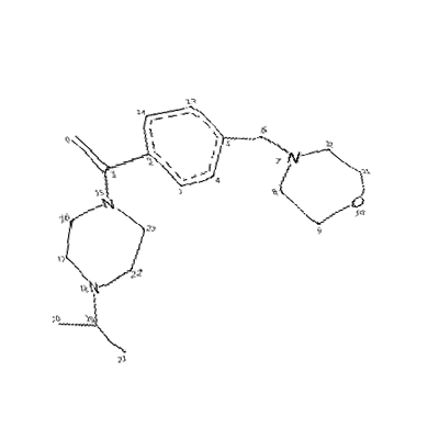 C=C(c1ccc(CN2CCOCC2)cc1)N1CCN(C(C)C)CC1